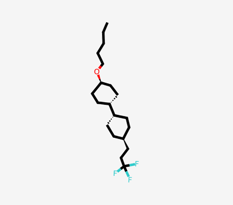 CCCCCO[C@H]1CC[C@H]([C@H]2CC[C@H](CCC(F)(F)F)CC2)CC1